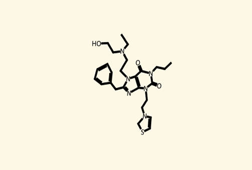 CCCn1c(=O)c2c(nc(Cc3ccccc3)n2CCN(CC)CCO)n(CCN2C=CSC2)c1=O